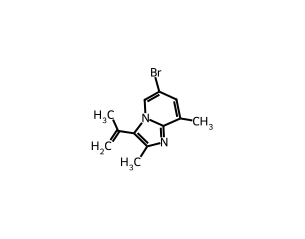 C=C(C)c1c(C)nc2c(C)cc(Br)cn12